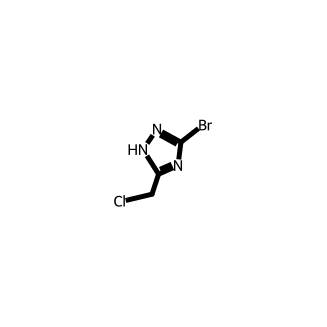 ClCc1nc(Br)n[nH]1